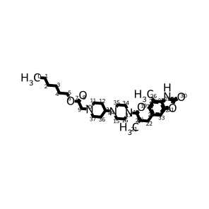 CCCCCCOC(=O)CN1CCC(N2CCN(C(=O)[C@H](C)Cc3cc(C)c4[nH]c(=O)oc4c3)CC2)CC1